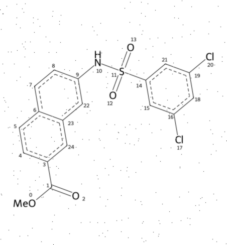 COC(=O)c1ccc2ccc(NS(=O)(=O)c3cc(Cl)cc(Cl)c3)cc2c1